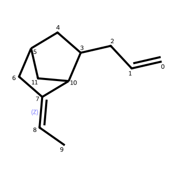 C=CCC1CC2C/C(=C/C)C1C2